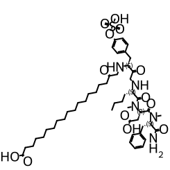 CCCC[C@H](NCC(=O)[C@H](Cc1ccc(OS(=O)(=O)O)cc1)NCC(=O)CCCCCCCCCCCCCCCCC(=O)O)C(=O)N(C)[C@H](CC(=O)O)C(=O)N(C)[C@@H](Cc1ccccc1)C(N)=O